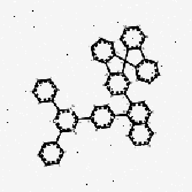 c1ccc(-c2nc(-c3ccccc3)nc(-c3ccc(-c4c(-c5ccc6c(c5)C5(c7ccccc7-c7ccccc75)c5ccccc5-6)ccc5ccccc45)cc3)n2)cc1